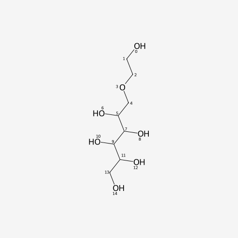 OCCOCC(O)C(O)C(O)C(O)CO